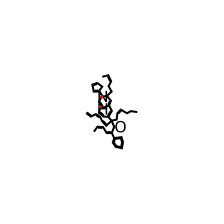 C=C/C=C\C=C/C(C/C=C\CCC)(C(=O)/C(=C\C=C/C)c1ccccc1)C(/C=C\C)=C/C(/C=C\C)=C/C(CC/C=C\C)NC1=CC=CC1